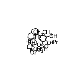 Cc1c(C2CCCC3CC[C@@H]4[C@@H](CC[C@]5(C)C(=O)CC[C@@H]45)[C@]32C)cc(S(=O)(=O)NN)c(OC(C)C)c1O